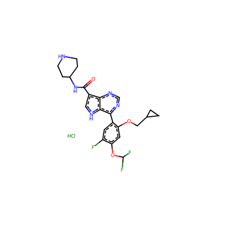 Cl.O=C(NC1CCNCC1)c1c[nH]c2c(-c3cc(F)c(OC(F)F)cc3OCC3CC3)ncnc12